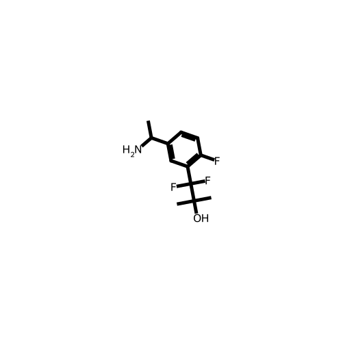 CC(N)c1ccc(F)c(C(F)(F)C(C)(C)O)c1